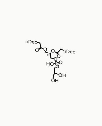 CCCCCCCCCCCC(=O)OC[C@H](COP(=O)(O)OCC(O)CO)OC(=O)CCCCCCCCCCC